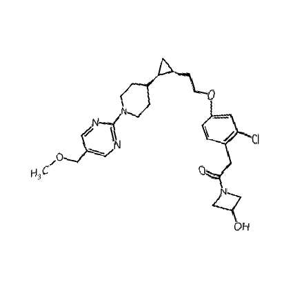 COCc1cnc(N2CCC([C@H]3C[C@H]3CCOc3ccc(CC(=O)N4CC(O)C4)c(Cl)c3)CC2)nc1